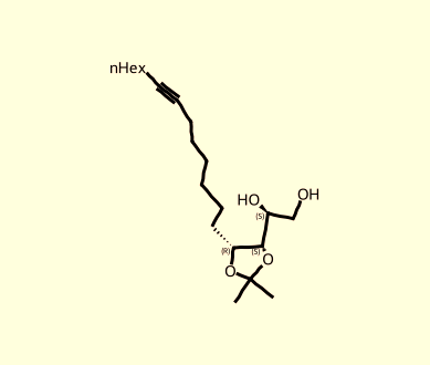 CCCCCCC#CCCCCCC[C@H]1OC(C)(C)O[C@H]1[C@@H](O)CO